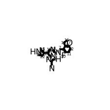 N#Cc1cn2c(NCc3c(F)ccc4c3CCO4)ncc(-c3cc[nH]n3)c2n1